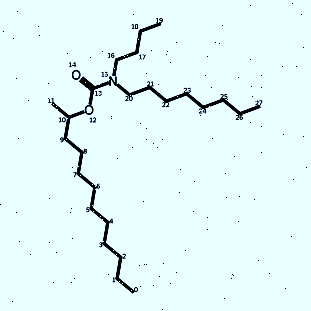 CCCCCCCCCCC(C)OC(=O)N(CCCC)CCCCCCCC